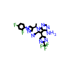 CC(c1cnn(-c2ccc(F)cc2F)c1)n1c(C#N)c(-c2cnc(C(F)(F)F)nc2)c2c(N)ncnc21